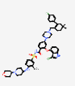 CC1(C)CCC(CN2CCN(c3ccc(C(=O)NS(=O)(=O)c4ccc(NC5CCN(C6CCOCC6)CC5)c([N+](=O)[O-])c4)c(Oc4cccc5[nH]cc(Cl)c45)c3)CC2)=C(c2ccc(Cl)cc2)C1